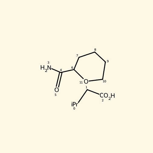 CC(C)CC(=O)O.NC(=O)C1CCCCO1